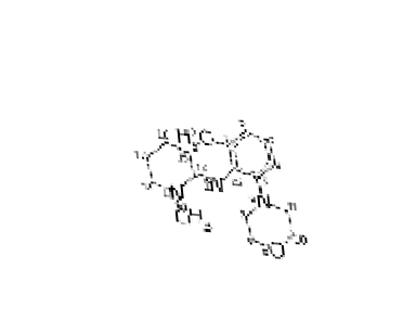 Cc1cccc(N2CCOCC2)c1N=C1CCCCN1C